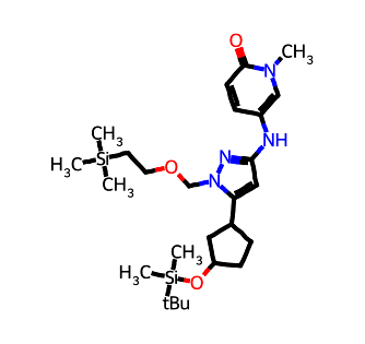 Cn1cc(Nc2cc(C3CCC(O[Si](C)(C)C(C)(C)C)C3)n(COCC[Si](C)(C)C)n2)ccc1=O